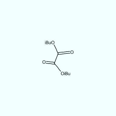 CC(C)COC(=O)C(=O)OCC(C)C